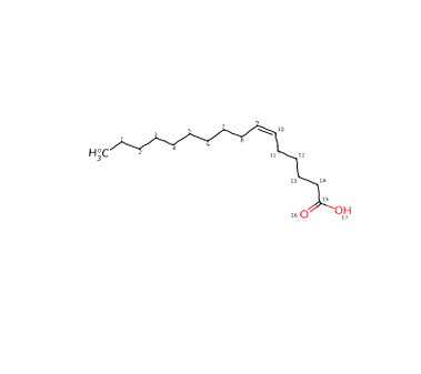 CCCCCCCCC/C=C\CCCCC(=O)O